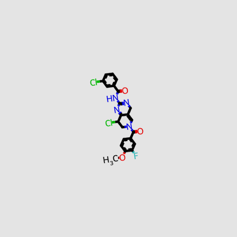 COc1ccc(C(=O)N2C=C3CN=C(NC(=O)c4cccc(Cl)c4)N=C3C(Cl)C2)cc1F